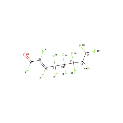 O=C(F)C(F)=C(F)C(F)(F)C(F)(F)C(F)(F)C(F)C(F)F